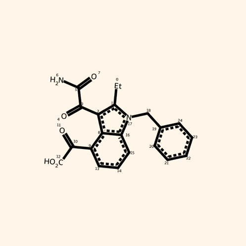 CCc1c(C(=O)C(N)=O)c2c(C(=O)C(=O)O)cccc2n1Cc1ccccc1